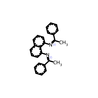 C/C(=N/c1cccc2cccc(/N=C(/C)c3ccccc3)c12)c1ccccc1